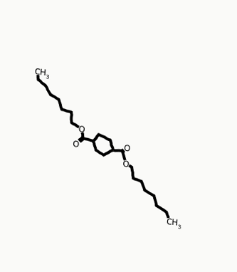 CCCCCCCCOC(=O)C1CCC(C(=O)OCCCCCCCC)CC1